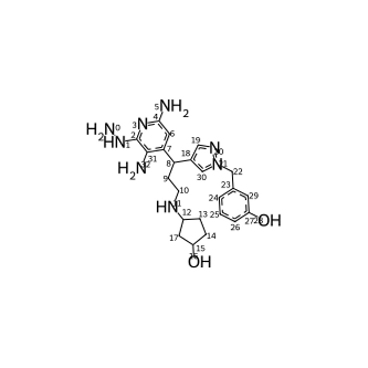 NNc1nc(N)cc(C(CCNC2CCC(O)C2)c2cnn(Cc3cccc(O)c3)c2)c1N